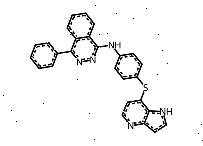 c1ccc(-c2nnc(Nc3ccc(Sc4ccnc5cc[nH]c45)cc3)c3ccccc23)cc1